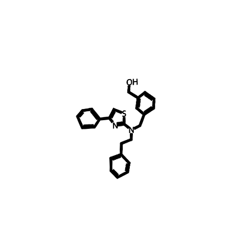 OCc1cccc(CN(CCc2ccccc2)c2nc(-c3ccccc3)cs2)c1